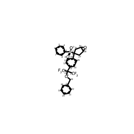 O=S(=O)(c1ccccc1)C1(c2ccc(C(OCc3ccccc3)(C(F)(F)F)C(F)(F)F)cc2)CC2OC2C1